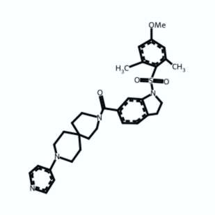 COc1cc(C)c(S(=O)(=O)N2CCc3ccc(C(=O)N4CCC5(CC4)CCN(c4ccncc4)CC5)cc32)c(C)c1